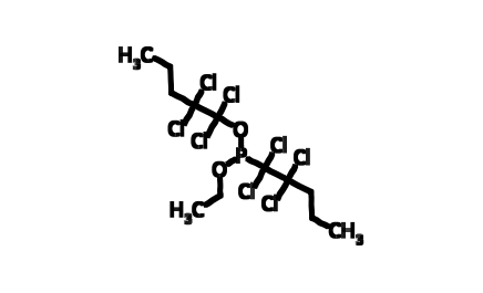 CCCC(Cl)(Cl)C(Cl)(Cl)OP(OCC)C(Cl)(Cl)C(Cl)(Cl)CCC